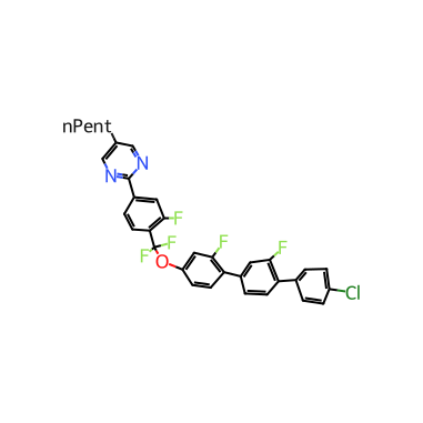 CCCCCc1cnc(-c2ccc(C(F)(F)Oc3ccc(-c4ccc(-c5ccc(Cl)cc5)c(F)c4)c(F)c3)c(F)c2)nc1